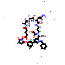 C[C@H](NC(=O)CCCC(=O)ON1C(=O)CCC1=O)C(=O)N[C@H](C)C(=O)N[C@@H](CC(N)=O)C(=O)NCCCN(C(=O)CO)[C@@H](c1cc(-c2cc(F)ccc2F)cn1Cc1ccccc1)C(C)(C)C